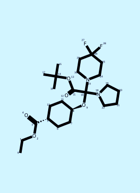 CCOC(=O)[C@H]1CC[C@H](OC(C(=O)OC(C)(C)C)(N2CCCC2)N2CCC(F)(F)CC2)CC1